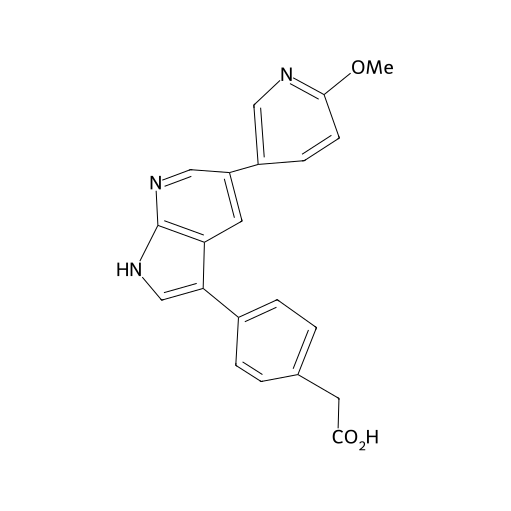 COc1ccc(-c2cnc3[nH]cc(-c4ccc(CC(=O)O)cc4)c3c2)cn1